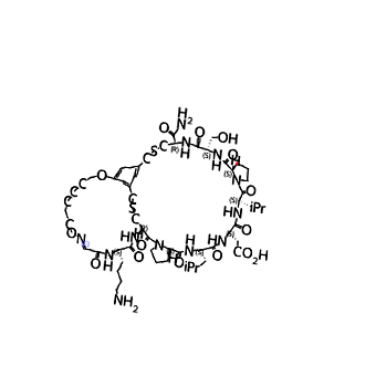 CC(C)C[C@@H]1NC(=O)[C@@H]2CCCN2C(=O)[C@@H]2CSCc3cc(cc(c3)OCCCCCCO/N=C/C(=O)N[C@@H](CCCCN)C(=O)N2)CSC[C@@H](C(N)=O)NC(=O)[C@H](CO)NC(=O)[C@@H]2CCCN2C(=O)[C@H](C(C)C)NC(=O)[C@H](CC(=O)O)NC1=O